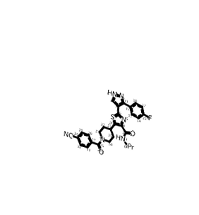 CC(C)NC(=O)c1nc(-c2c[nH]nc2-c2ccc(F)cc2)sc1C1CCN(C(=O)c2ccc(C#N)cc2)CC1